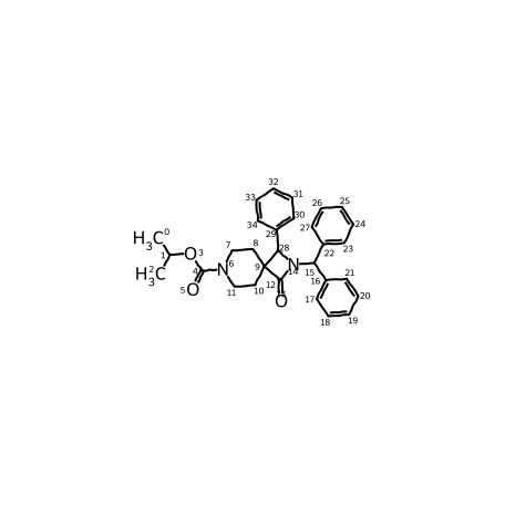 CC(C)OC(=O)N1CCC2(CC1)C(=O)N(C(c1ccccc1)c1ccccc1)C2c1ccccc1